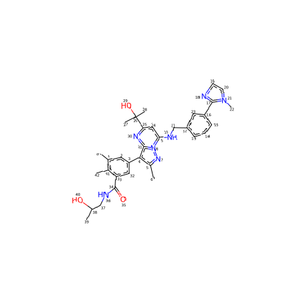 Cc1cc(-c2c(C)nn3c(NCc4cccc(-c5nccn5C)c4)cc(C(C)(C)O)nc23)cc(C(=O)NCC(C)O)c1C